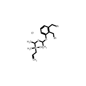 C=CC[N+](C)(C)C(C)OC(C)Oc1cccc(CC(C)C)c1CC(C)C.[Cl-]